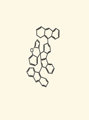 C1=Cc2cc3ccccc3c(-c3ccc4c(c3)C3(c5ccccc5Oc5ccccc53)c3cc(-c5c6ccccc6cc6ccccc56)c5ccccc5c3-4)c2CC1